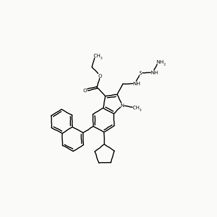 CCOC(=O)c1c(CNSNN)n(C)c2cc(C3CCCC3)c(-c3cccc4ccccc34)cc12